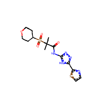 CC(C)(C(=O)Nc1nnc(-c2nccs2)[nH]1)S(=O)(=O)C1CCOCC1